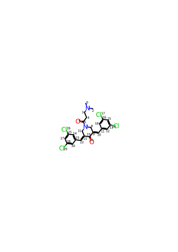 CN(C)CCC(=O)N1C/C(=C\c2cc(Cl)cc(Cl)c2)C(=O)/C(=C/c2cc(Cl)cc(Cl)c2)C1